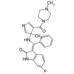 CN1CCN(C(=O)C2=CN=CC2(C)N/C(=C2\C(=O)Nc3cc(F)ccc32)c2ccccc2)CC1